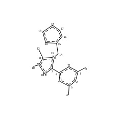 Cc1cc(C)cc(-c2nc(C)c(C)n2Cc2ccccc2)c1